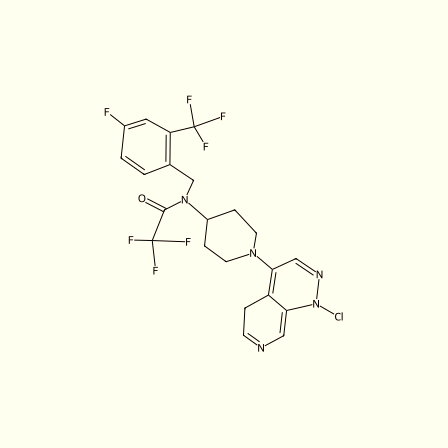 O=C(N(Cc1ccc(F)cc1C(F)(F)F)C1CCN(C2=C3CC=NC=C3N(Cl)N=C2)CC1)C(F)(F)F